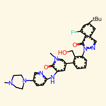 CN1CCN(c2ccc(Nc3cc(-c4cccc(-n5ncc6cc(C(C)(C)C)cc(F)c6c5=O)c4CO)cn(C)c3=O)nc2)CC1